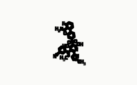 CCN(c1cccc(C#N)c1)c1c(-c2ccn(C)n2)nc(O)c(S(=O)(=O)c2ccc(-c3cccc(F)c3C(N)=O)cc2)c1O